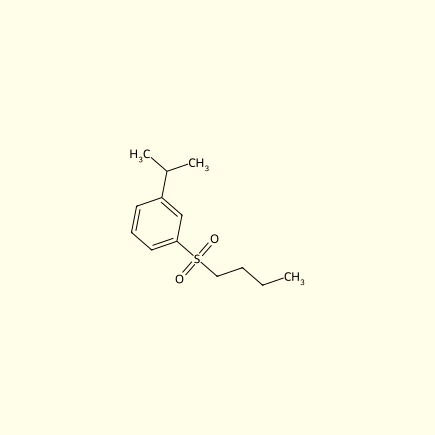 CCCCS(=O)(=O)c1cccc(C(C)C)c1